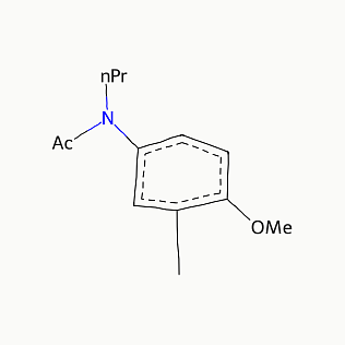 CCCN(C(C)=O)c1ccc(OC)c(C)c1